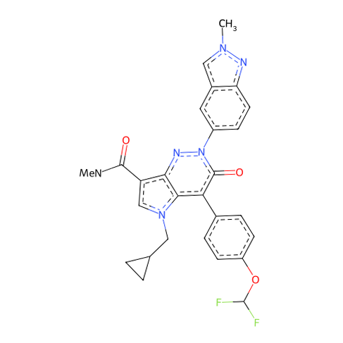 CNC(=O)c1cn(CC2CC2)c2c(-c3ccc(OC(F)F)cc3)c(=O)n(-c3ccc4nn(C)cc4c3)nc12